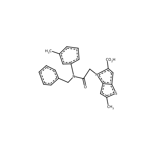 Cc1cccc(N(Cc2ccccc2)C(=O)Cn2c(C(=O)O)cc3sc(C)cc32)c1